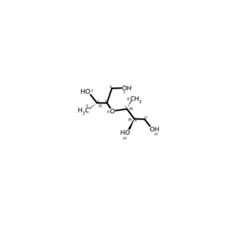 C[C@H](O)C(CO)O[C@H](C)[C@H](O)CO